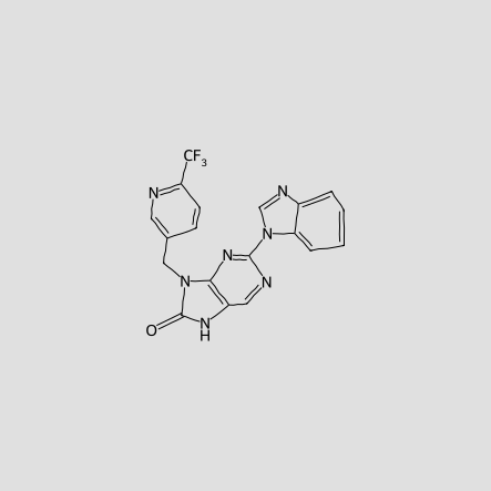 O=c1[nH]c2cnc(-n3cnc4ccccc43)nc2n1Cc1ccc(C(F)(F)F)nc1